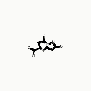 O=C(Cl)c1cc(Cl)n2nc(Br)cc2n1